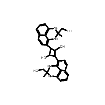 CC1(CO)Nc2cccc3ccc(C4C(O)C(c5ccc6cccc7c6c5NC(C)(CO)N7)C4O)c(c23)N1